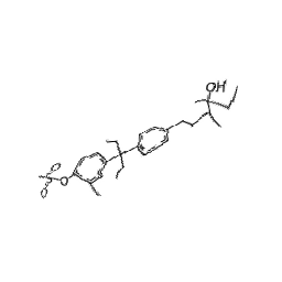 CCC(CC)(c1ccc(CCC(C)C(C)(O)CC)cc1)c1ccc(OS(C)(=O)=O)c(C)c1